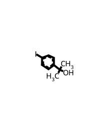 CC(C)(O)c1ccc(I)cc1